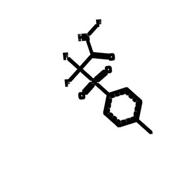 Cc1ccc(S(=O)(=O)C(F)(F)C(=O)NF)cc1